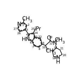 Cc1cc(-c2[nH]c3ccc(C(C)C(=O)N(C)C4CCNCC4)cc3c2C(C)C)ccn1